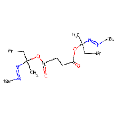 CC(C)CC(C)(N=NC(C)(C)C)OC(=O)CCC(=O)OC(C)(CC(C)C)N=NC(C)(C)C